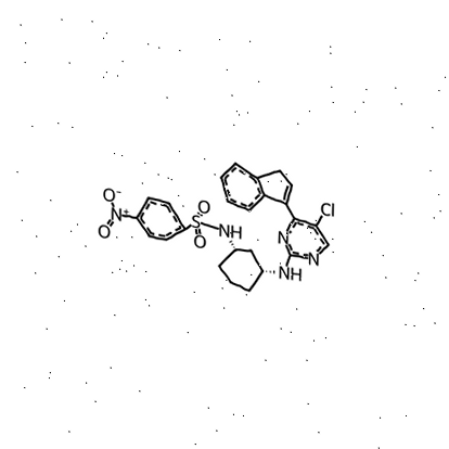 O=[N+]([O-])c1ccc(S(=O)(=O)N[C@H]2CCC[C@@H](Nc3ncc(Cl)c(C4=CCc5ccccc54)n3)C2)cc1